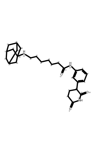 O=C1CCC(c2cccc(NC(=O)CCCCCCNC34CC5CC(CC(C5)C3)C4)c2)C(=O)N1